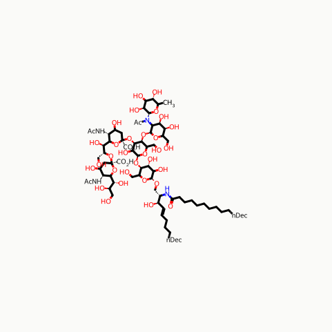 CCCCCCCCCCCCC/C=C/[C@@H](O)[C@H](CO[C@@H]1OC(CO)[C@@H](O[C@@H]2OC(CO)[C@H](O[C@@H]3OC(CO)[C@H](O)[C@H](O)C3N(C(C)=O)[C@H]3OC(C)[C@@H](O)C(O)[C@@H]3O)[C@H](O[C@]3(C(=O)O)CC(O)[C@@H](NC(C)=O)C([C@H](O)[C@@H](CO)O[C@]4(C(=O)O)CC(O)[C@@H](NC(C)=O)C([C@H](O)[C@H](O)CO)O4)O3)C2O)[C@H](O)C1O)NC(=O)CCCCCCCCCCCCCCCCCCC